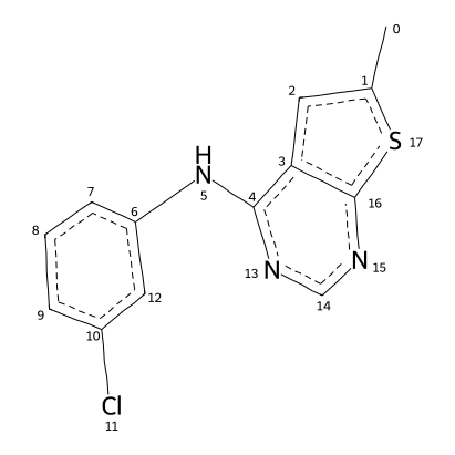 Cc1cc2c(Nc3cccc(Cl)c3)ncnc2s1